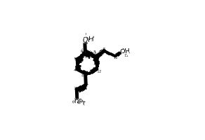 CCCC=Cc1ccc(O)c(CCO)c1